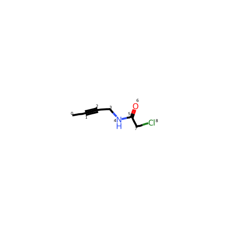 CC#CCNC(=O)CCl